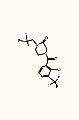 O=C1CN(C(=O)c2cccc(C(F)(F)F)c2Cl)CCN1CC(F)(F)F